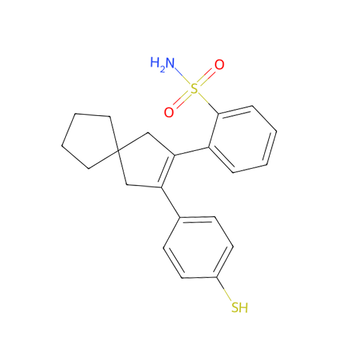 NS(=O)(=O)c1ccccc1C1=C(c2ccc(S)cc2)CC2(CCCC2)C1